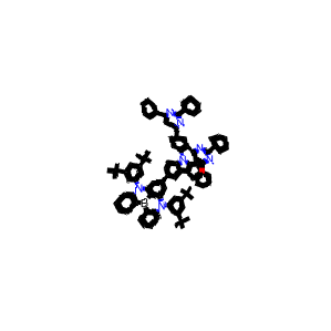 CC(C)(C)c1cc(N2c3ccccc3B3c4ccccc4N(c4cc(C(C)(C)C)cc(C(C)(C)C)c4)c4cc(-c5ccc6c(c5)c5ccccc5n6-c5ccc(-c6cc(-c7ccccc7)nc(-c7ccccc7)n6)cc5-c5cc(-c6ccccc6)nc(-c6ccccc6)n5)cc2c43)cc(C(C)(C)C)c1